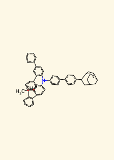 CC1(C)c2ccccc2-c2ccc(N(c3ccc(-c4ccc(C5CC6CC7CCC5C(C7)C6)cc4)cc3)c3ccc(-c4ccccc4)cc3-c3ccccc3)cc21